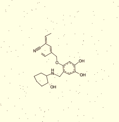 C=C/C(=C\C(C#N)=C/C)COc1cc(O)c(O)cc1CNC1CCCC[C@H]1O